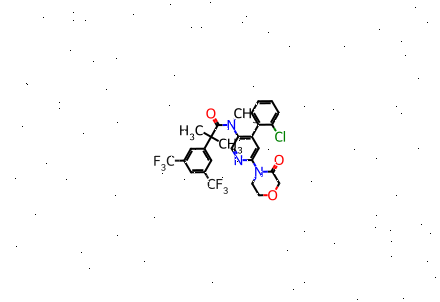 CN(C(=O)C(C)(C)c1cc(C(F)(F)F)cc(C(F)(F)F)c1)c1cnc(N2CCOCC2=O)cc1-c1ccccc1Cl